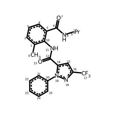 Cc1cccc(C(=O)NC(C)C)c1NC(=O)c1cc(C(F)(F)F)nn1-c1ccccc1